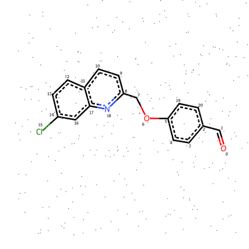 O=Cc1ccc(OCc2ccc3ccc(Cl)cc3n2)cc1